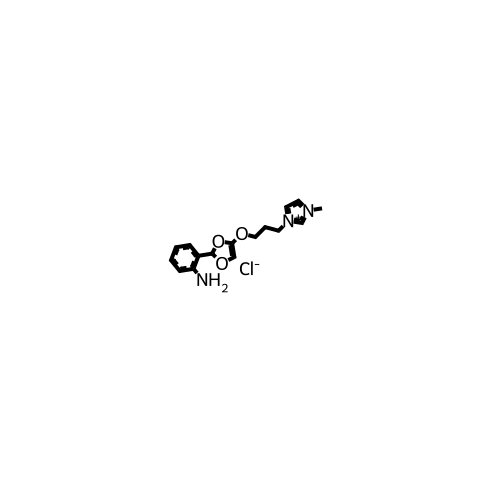 Cn1cc[n+](CCCOC2=COC(c3ccccc3N)O2)c1.[Cl-]